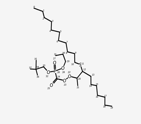 CCCCCCCCCCCSC(CCCCCCC)C(C)OOC(=O)P(=O)(OCCC)OCC(C)(C)C